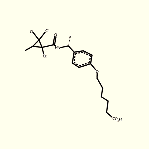 CCC1(C(=O)N[C@H](C)c2ccc(OCCCCCC(=O)O)cc2)C(C)C1(Cl)Cl